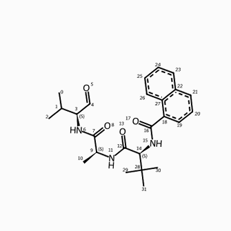 CC(C)[C@@H](C=O)NC(=O)[C@H](C)NC(=O)[C@@H](NC(=O)c1cccc2ccccc12)C(C)(C)C